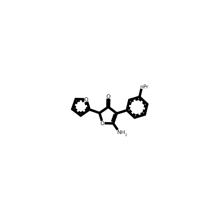 CCCc1cccc(C2=C(N)OC(c3ccco3)C2=O)c1